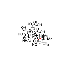 CC(=O)NC(C(O)OC1C(O)[C@H](O)C(CO)O[C@@H]1OCC1O[C@@H](O[C@@H]2C(CO)O[C@@H](O[C@@H]3C(CO)O[C@@H](C)C(NC(C)=O)C3O)C(NC(C)=O)C2O)C(O)C(O)[C@@H]1O)C(O)[C@H](O)CCO